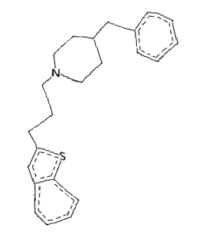 c1ccc(CC2CCN(CCCc3cc4ccccc4s3)CC2)cc1